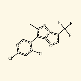 Cc1nn2c(C(F)(F)F)coc2c1-c1ccc(Cl)cc1Cl